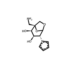 NC[C@@]12COC(O1)[C@H](n1cccc1)[C@@H](O)[C@H]2O